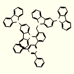 c1ccc(-c2cc(-c3cccc(Cn4c5ccccc5c5cc(-n6c7ccccc7c7ccccc76)ccc54)c3-n3c4ccccc4c4cc(-n5c6ccccc6c6ccccc65)ccc43)nc(-c3ccccc3)n2)cc1